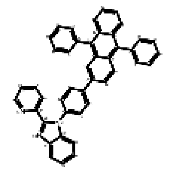 c1ccc(-c2c3ccccc3c(-c3ccccc3)c3cc(-c4ccc(-n5c(-c6ccccn6)nc6ccccc65)cc4)ccc23)cc1